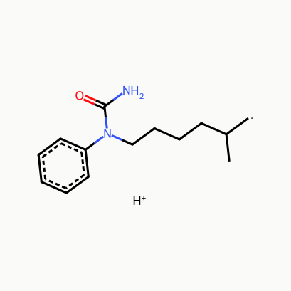 [CH2]C(C)CCCCN(C(N)=O)c1ccccc1.[H+]